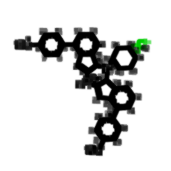 CCCC1=Cc2c(-c3ccc(C(C)(C)C)cc3)cccc2[CH]1[Ti+2]1([CH]2C(CCC)=Cc3c(-c4ccc(C(C)(C)C)cc4)cccc32)[CH]2CCCC[CH]21.[Cl-].[Cl-]